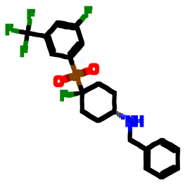 O=S(=O)(c1cc(F)cc(C(F)(F)F)c1)[C@]1(F)CC[C@H](NCc2ccccc2)CC1